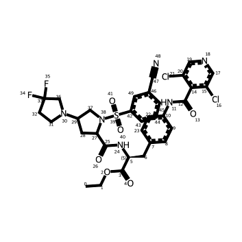 CCOC(=O)[C@H](Cc1ccc(NC(=O)c2c(Cl)cncc2Cl)cc1)NC(=O)C1CC(N2CCC(F)(F)C2)CN1S(=O)(=O)c1cccc(C#N)c1